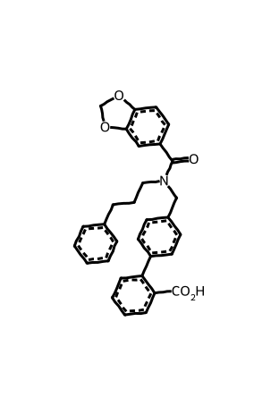 O=C(O)c1ccccc1-c1ccc(CN(CCCc2ccccc2)C(=O)c2ccc3c(c2)OCO3)cc1